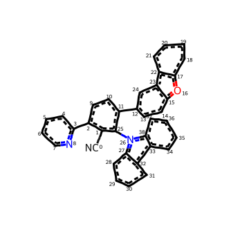 N#Cc1c(-c2ccccn2)ccc(-c2ccc3oc4ccccc4c3c2)c1-n1c2ccccc2c2ccccc21